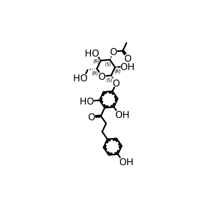 CC(=O)O[C@@H]1[C@@H](O)[C@H](Oc2cc(O)c(C(=O)CCc3ccc(O)cc3)c(O)c2)O[C@H](CO)[C@H]1O